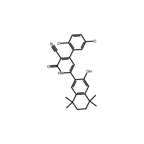 CC1(C)CCC(C)(C)c2cc(-c3cc(-c4cc(Cl)ccc4Cl)c(C#N)c(=O)[nH]3)c(O)cc21